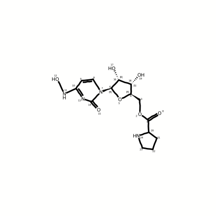 O=C(OC[C@H]1O[C@@H](n2ccc(NO)nc2=O)[C@H](O)[C@@H]1O)C1CCCN1